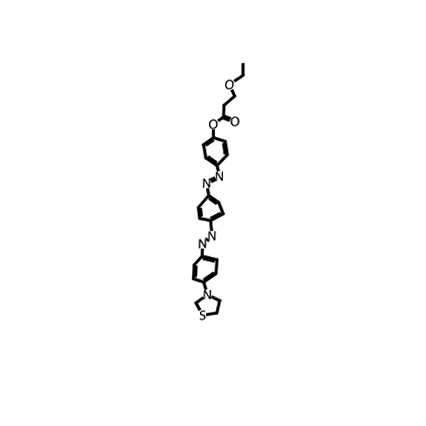 CCOCCC(=O)Oc1ccc(N=Nc2ccc(N=Nc3ccc(N4CCSC4)cc3)cc2)cc1